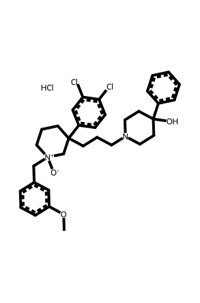 COc1cccc(C[N+]2([O-])CCCC(CCCN3CCC(O)(c4ccccc4)CC3)(c3ccc(Cl)c(Cl)c3)C2)c1.Cl